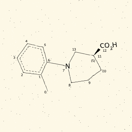 Cc1ccccc1N1CCC[C@H](C(=O)O)C1